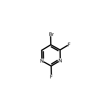 Fc1ncc(Br)c(F)n1